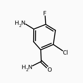 NC(=O)c1cc(N)c(F)cc1Cl